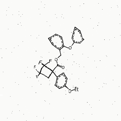 CCOc1ccc(C2(C(=O)OCc3ccccc3Oc3ccccc3)CC(F)(F)C2(F)F)cc1